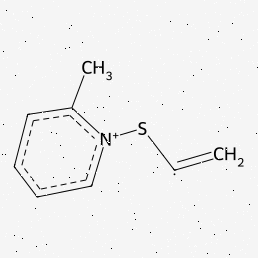 C=[C]S[n+]1ccccc1C